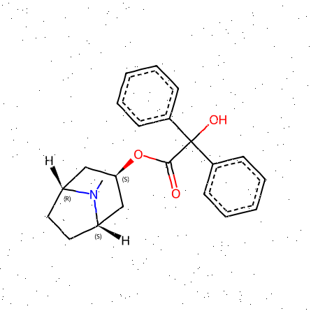 CN1[C@@H]2CC[C@H]1C[C@H](OC(=O)C(O)(c1ccccc1)c1ccccc1)C2